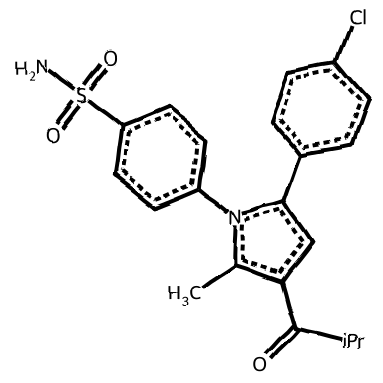 Cc1c(C(=O)C(C)C)cc(-c2ccc(Cl)cc2)n1-c1ccc(S(N)(=O)=O)cc1